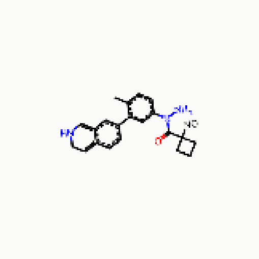 Cc1ccc(N(N)C(=O)C2(N=O)CCC2)cc1-c1ccc2c(c1)=CNCC=2